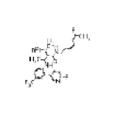 CCC/C(C)=C(/C(=O)NCC/C=C\C=C(/C)F)C(C)Nc1ccc(C(F)(F)F)cc1-c1ccc(F)nc1